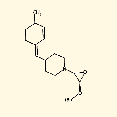 CC1C=C/C(=C\C2CCN(C3O[C@H]3OC(C)(C)C)CC2)CC1